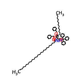 CCCCCCCCCCCCCCCCCCCCCCCCCC(=O)N[C@@H](COC(c1ccccc1)(c1ccccc1)c1ccccc1)[C@H](OCc1ccccc1)[C@@H](CCCCCCCCCCCCCC)OCc1ccccc1